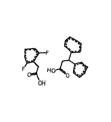 O=C(O)CC(c1ccccc1)c1ccccc1.O=C(O)Cc1c(F)cccc1F